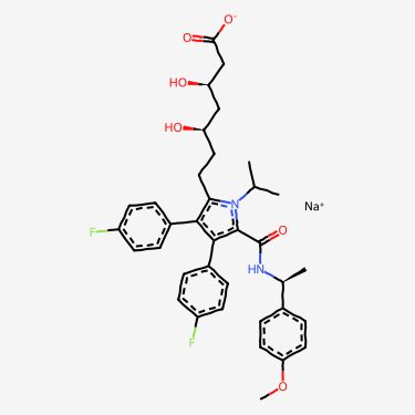 COc1ccc([C@H](C)NC(=O)c2c(-c3ccc(F)cc3)c(-c3ccc(F)cc3)c(CC[C@@H](O)C[C@@H](O)CC(=O)[O-])n2C(C)C)cc1.[Na+]